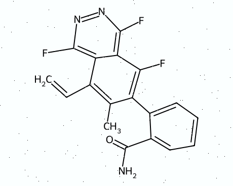 C=Cc1c(C)c(-c2ccccc2C(N)=O)c(F)c2c(F)nnc(F)c12